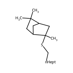 CCCCCCCCSC1(C)CC2CC1CC2(C)C